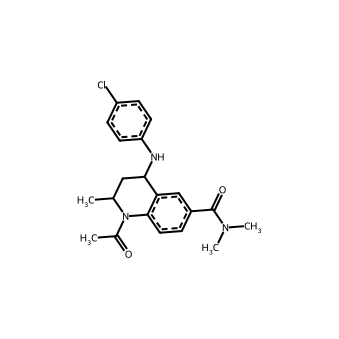 CC(=O)N1c2ccc(C(=O)N(C)C)cc2C(Nc2ccc(Cl)cc2)CC1C